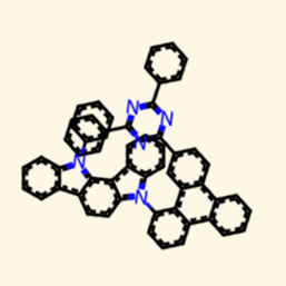 c1ccc(-c2nc(-c3ccccc3)nc(-c3ccc4c5ccccc5c5cccc(-n6c7ccccc7c7c6ccc6c8ccccc8n(-c8ccccc8)c67)c5c4c3)n2)cc1